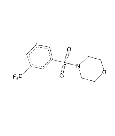 O=S(=O)(c1c[c]cc(C(F)(F)F)c1)N1CCOCC1